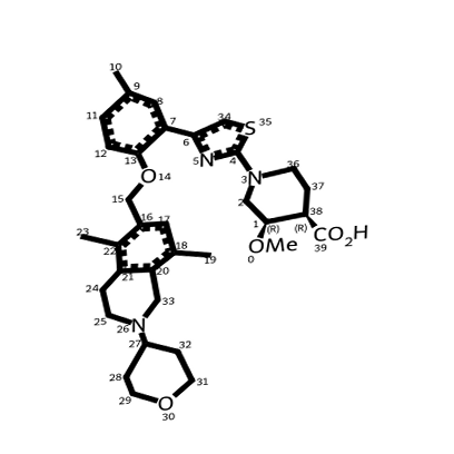 CO[C@H]1CN(c2nc(-c3cc(C)ccc3OCc3cc(C)c4c(c3C)CCN(C3CCOCC3)C4)cs2)CC[C@H]1C(=O)O